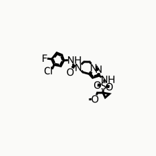 COCC1(S(=O)(=O)Nc2cc3n(n2)CCN(C(=O)Nc2ccc(F)c(Cl)c2)C3)CC1